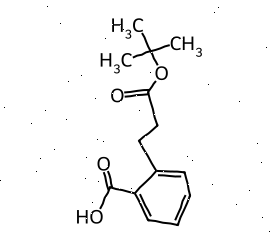 CC(C)(C)OC(=O)CCc1ccccc1C(=O)O